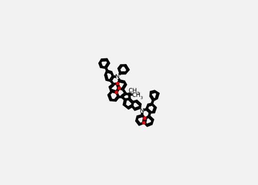 CC1(C)c2c(ccc3cc(N(c4ccccc4)c4cc(-c5ccccc5)ccc4-c4ccccc4)ccc23)-c2c1c1ccc(N(c3ccccc3)c3cc(-c4ccccc4)ccc3-c3ccccc3)cc1c1ccccc21